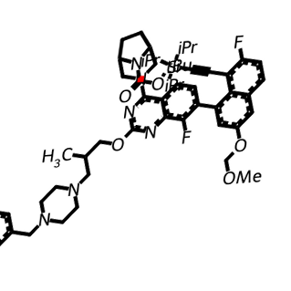 COCOc1cc(-c2ccc3c(N4CC5CCC(C4)N5C(=O)OC(C)(C)C)nc(OCC(C)CN4CCN(Cc5ccccc5)CC4)nc3c2F)c2c(C#C[Si](C(C)C)(C(C)C)C(C)C)c(F)ccc2c1